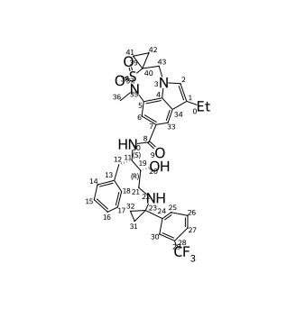 CCc1cn2c3c(cc(C(=O)N[C@@H](Cc4ccccc4)[C@H](O)CNC4(c5cccc(C(F)(F)F)c5)CC4)cc13)N(C)S(=O)(=O)C1(CC1)C2